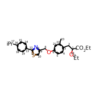 CCOC(=O)C(Cc1ccc(OCc2csc(-c3ccc(C(C)C)cc3)n2)cc1C)OCC